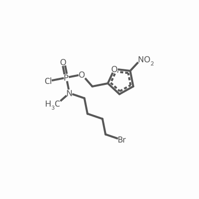 CN(CCCCBr)P(=O)(Cl)OCc1ccc([N+](=O)[O-])o1